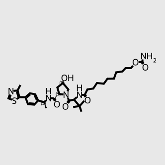 Cc1ncsc1-c1ccc([C@H](C)NC(=O)[C@@H]2C[C@@H](O)CN2C(=O)C(NC(=O)CCCCCCCCCCOC(N)=O)C(C)(C)C)cc1